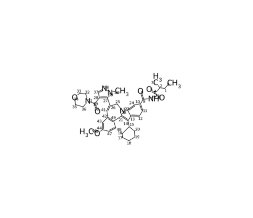 CCC(C)S(=O)(=O)NC(=O)c1ccc2c(C3CCCCC3)c3n(c2c1)CC(c1c(C(=O)N2CCOCC2)cnn1C)=Cc1cc(OC)ccc1-3